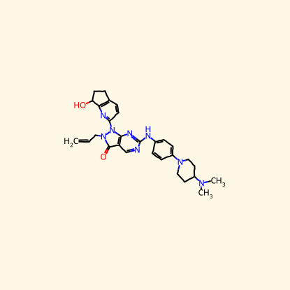 C=CCn1c(=O)c2cnc(Nc3ccc(N4CCC(N(C)C)CC4)cc3)nc2n1-c1ccc2c(n1)C(O)CC2